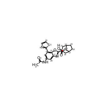 CC(=O)Nc1cc(-c2nccs2)c2oc(N3CC4CCC(C3)N4C(=O)O)nc2c1